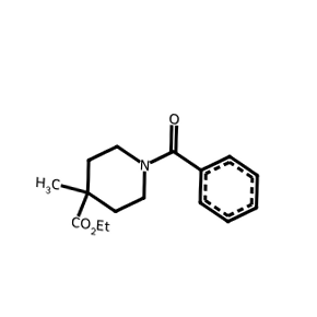 CCOC(=O)C1(C)CCN(C(=O)c2ccccc2)CC1